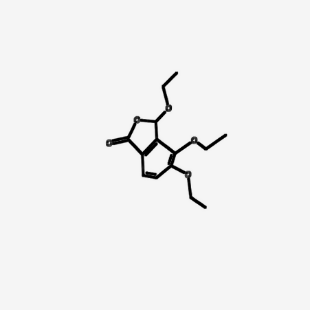 CCOc1ccc2c(c1OCC)C(OCC)OC2=O